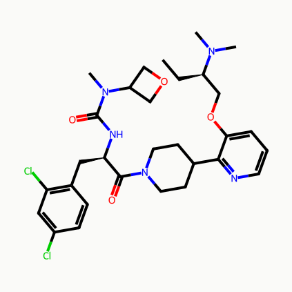 CC[C@H](COc1cccnc1C1CCN(C(=O)[C@@H](Cc2ccc(Cl)cc2Cl)NC(=O)N(C)C2COC2)CC1)N(C)C